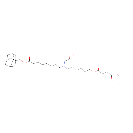 CCCCCCCCOC(CCC(=O)OCCCCCCN(CCO)CCCCCCCC(=O)OCC12CC3CC(CC(C3)C1)C2)OCCCCCCCC